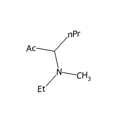 CCCC(C(C)=O)N(C)CC